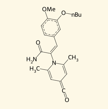 CCCCOc1cc(/C=C(\C(N)=O)N2C(C)=CC(=C=O)C=C2C)ccc1OC